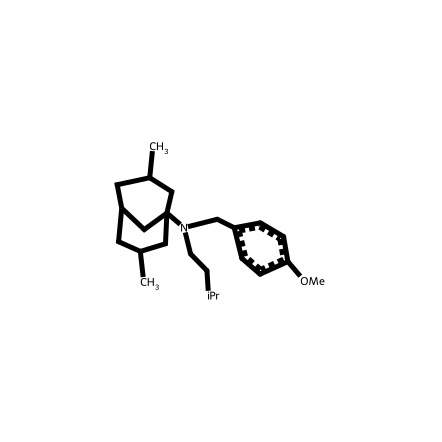 COc1ccc(CN(CCC(C)C)C23CC(C)CC(CC(C)C2)C3)cc1